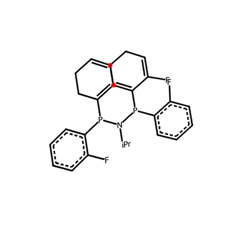 CC(C)N(P(C1=CC=CCC1)c1ccccc1F)P(C1=CCCC=C1F)c1ccccc1F